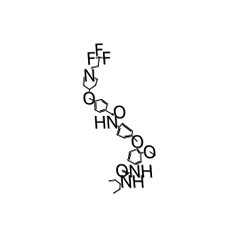 CCC(CC)NC(=O)Nc1ccc(Oc2ccc(NC(=O)c3ccc(OC4CCN(CCC(F)(F)F)CC4)cc3)cc2)c(OC)c1